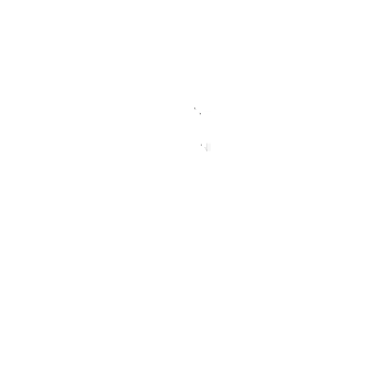 [CH2]CCCNN